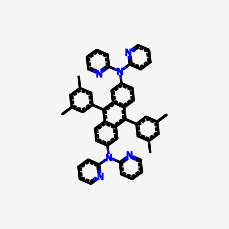 Cc1cc(C)cc(-c2c3ccc(N(c4ccccn4)c4ccccn4)cc3c(-c3cc(C)cc(C)c3)c3ccc(N(c4ccccn4)c4ccccn4)cc23)c1